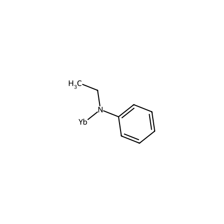 CC[N]([Yb])c1ccccc1